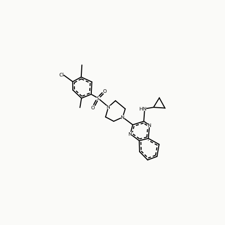 Cc1cc(S(=O)(=O)N2CCN(c3nc4ccccc4nc3NC3CC3)CC2)c(C)cc1Cl